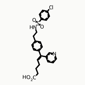 O=C(O)CCC/C=C(/c1ccc(CCNS(=O)(=O)c2ccc(Cl)cc2)cc1)c1cccnc1